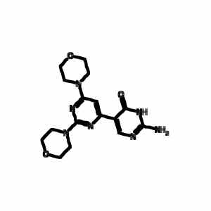 Nc1ncc(-c2cc(N3CCOCC3)nc(N3CCOCC3)n2)c(=O)[nH]1